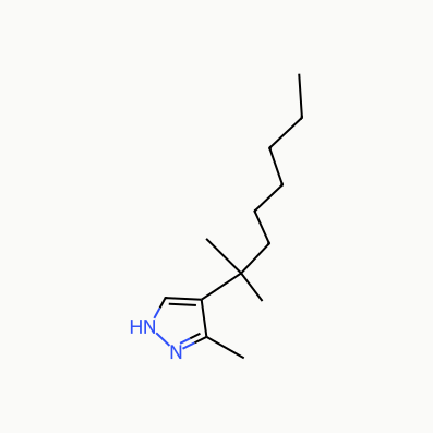 CCCCCCC(C)(C)c1c[nH]nc1C